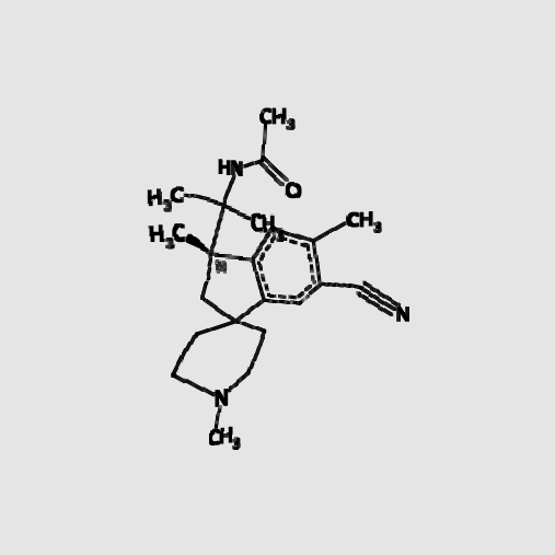 CC(=O)NC(C)(C)[C@@]1(C)CC2(CCN(C)CC2)c2cc(C#N)c(C)cc21